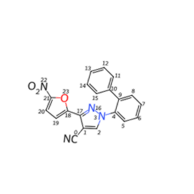 N#Cc1cn(-c2ccccc2-c2ccccc2)nc1-c1ccc([N+](=O)[O-])o1